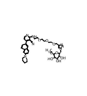 CO[C@H]1O[C@H](Cn2cc(COCCOCCOCCNc3nccc(-c4ccc5cc(N6CCCCC6)ccc5c4)c3C#N)nn2)[C@@H](O)[C@H](O)[C@H]1O